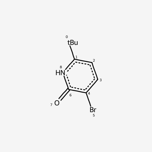 CC(C)(C)c1ccc(Br)c(=O)[nH]1